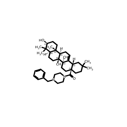 CC1(C)CC[C@]2(C(=O)N3CCN(Cc4ccccc4)CC3)CC[C@]3(C)C(=CC[C@@H]4[C@@]5(C)CC[C@H](O)C(C)(C)[C@@H]5CC[C@]43C)[C@@H]2C1